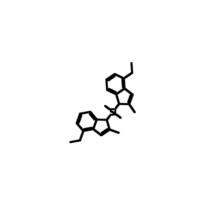 CCc1cccc2c1C=C(C)C2[Si](C)(C)C1C(C)=Cc2c(CC)cccc21